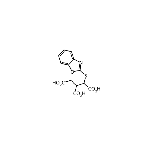 O=C(O)CC(C(=O)O)C(Sc1nc2ccccc2o1)C(=O)O